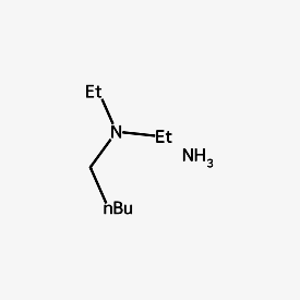 CCCCCN(CC)CC.N